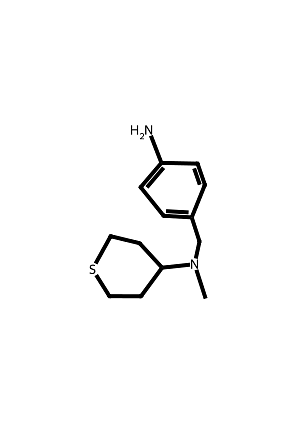 CN(Cc1ccc(N)cc1)C1CCSCC1